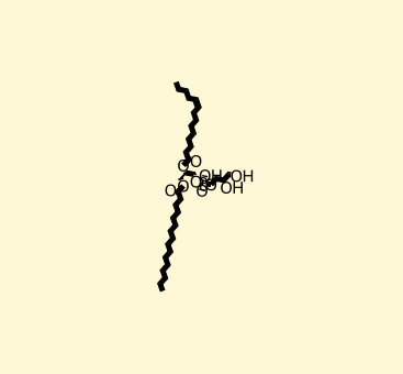 CCCC/C=C\CCCCCCCC(=O)O[C@H](COC(=O)CCCCCCCCCCCCCCC)COP(=O)(O)OC[C@@H](O)CO